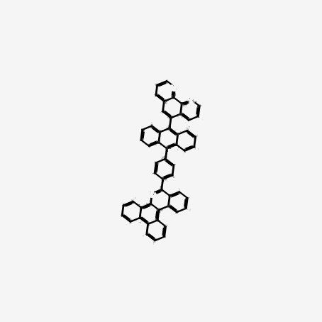 c1cnc2c(c1)cc(-c1c3ccccc3c(-c3ccc(-c4nc5c6ccccc6c6ccccc6c5c5ccccc45)cc3)c3ccccc13)c1cccnc12